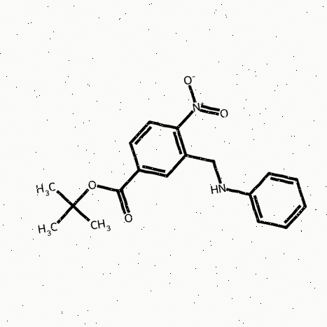 CC(C)(C)OC(=O)c1ccc([N+](=O)[O-])c(CNc2ccccc2)c1